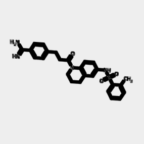 Cc1ccccc1S(=O)(=O)Nc1ccc2c(c1)CCCN2C(=O)CCc1ccc(C(=N)N)cc1